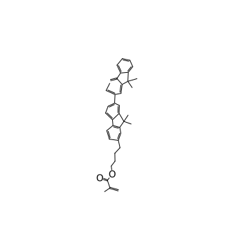 C=C(C)C(=O)OCCCCc1ccc2c(c1)C(C)(C)c1cc(C(/C=C3\C(=C)c4ccccc4C3(C)C)=C/C)ccc1-2